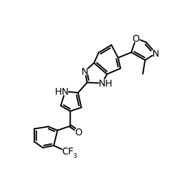 Cc1ncoc1-c1ccc2nc(-c3cc(C(=O)c4ccccc4C(F)(F)F)c[nH]3)[nH]c2c1